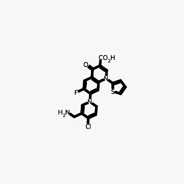 NCC1=CN(c2cc3c(cc2F)c(=O)c(C(=O)O)cn3-c2cccs2)CC=C1Cl